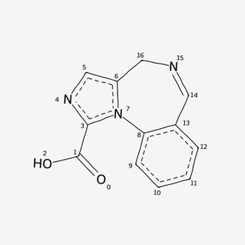 O=C(O)c1ncc2n1-c1ccccc1C=NC2